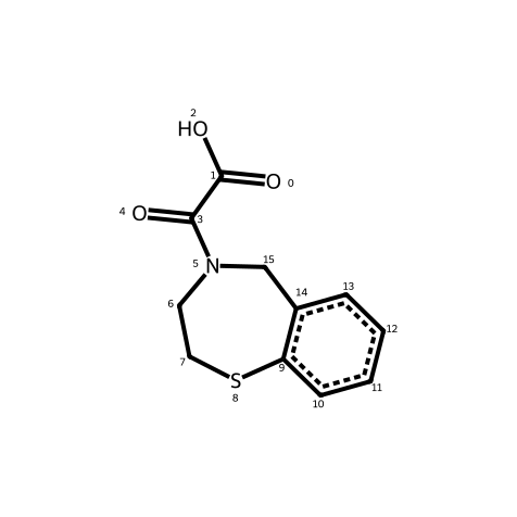 O=C(O)C(=O)N1CCSc2ccccc2C1